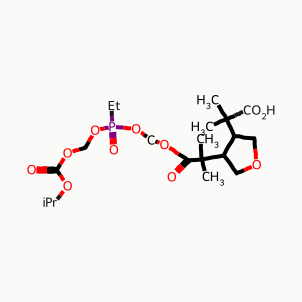 CCP(=O)(OCOC(=O)OC(C)C)OCOC(=O)C(C)(C)C1COCC1C(C)(C)C(=O)O